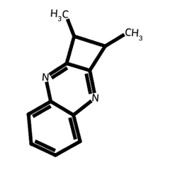 CC1c2nc3ccccc3nc2C1C